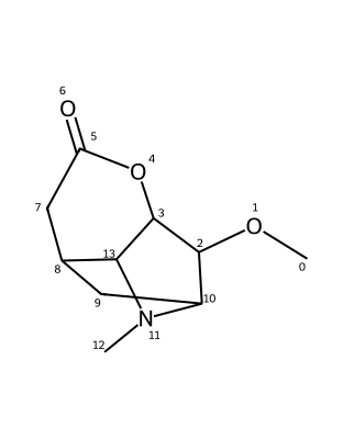 COC1C2OC(=O)CC3CC1N(C)C32